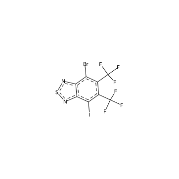 FC(F)(F)c1c(C(F)(F)F)c(I)c2nsnc2c1Br